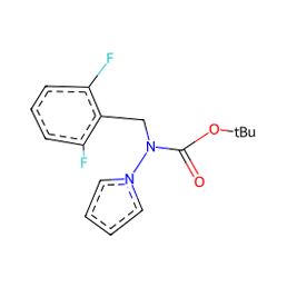 CC(C)(C)OC(=O)N(Cc1c(F)cccc1F)n1cccc1